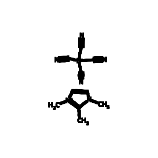 Cc1n(C)cc[n+]1C.N#C[B-](C#N)(C#N)C#N